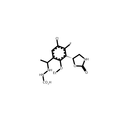 CCOc1c(C(C)NNC(=O)O)cc(Cl)c(F)c1[C@@H]1CNC(=O)O1